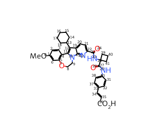 COc1ccc2c(c1)OCCn1c-2c(C2CCCCC2)c2ccc(C(=O)NC3(C(=O)Nc4ccc(/C=C/C(=O)O)cc4)CCC3)nc21